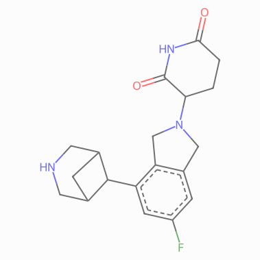 O=C1CCC(N2Cc3cc(F)cc(C4C5CNCC4C5)c3C2)C(=O)N1